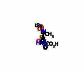 Cc1nn(C(=O)OC(C)(C)C)cc1-c1cc2nc([C@@H]3CCCCN3C(=O)O)[nH]c(=O)c2s1